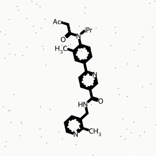 CC(=O)CC(=O)N(c1ccc(-c2ccc(C(=O)NCc3cccnc3C)cn2)cc1C)C(C)C